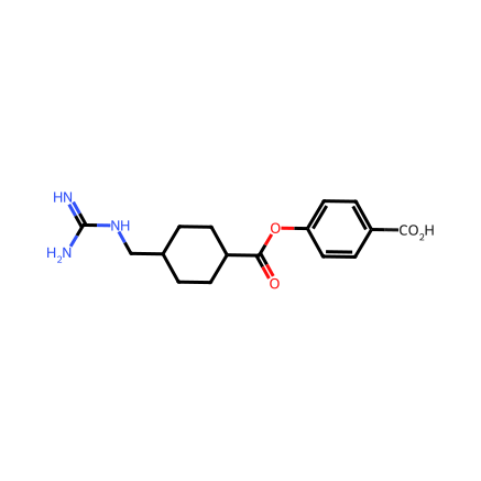 N=C(N)NCC1CCC(C(=O)Oc2ccc(C(=O)O)cc2)CC1